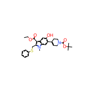 CCOC(=O)c1c(CSc2ccccc2)n(C)c2cc(C3=CCN(C(=O)OC(C)(C)C)CC3)c(O)cc12